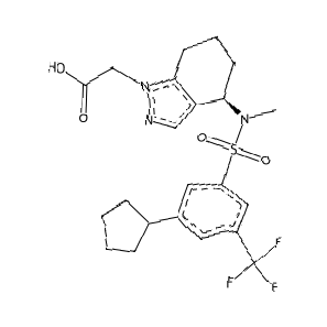 CN([C@@H]1CCCc2c1cnn2CC(=O)O)S(=O)(=O)c1cc(C2CCCC2)cc(C(F)(F)F)c1